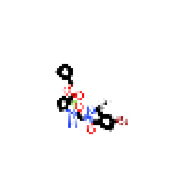 CC(C)c1nn(CC(=O)NC2CCCC2(F)C(=O)OCc2ccccc2)c(=O)c2ccc(Br)cc12